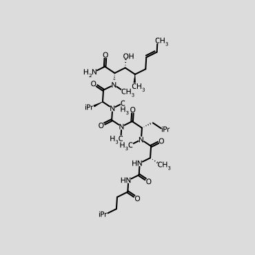 C/C=C/C[C@@H](C)[C@@H](O)[C@@H](C(N)=O)N(C)C(=O)[C@H](C(C)C)N(C)C(=O)N(C)C(=O)[C@H](CC(C)C)N(C)C(=O)[C@H](C)NC(=O)NC(=O)CCC(C)C